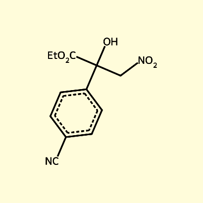 CCOC(=O)C(O)(C[N+](=O)[O-])c1ccc(C#N)cc1